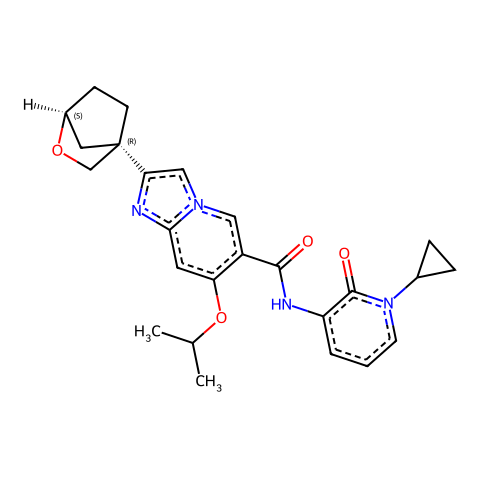 CC(C)Oc1cc2nc([C@@]34CC[C@@H](C3)OC4)cn2cc1C(=O)Nc1cccn(C2CC2)c1=O